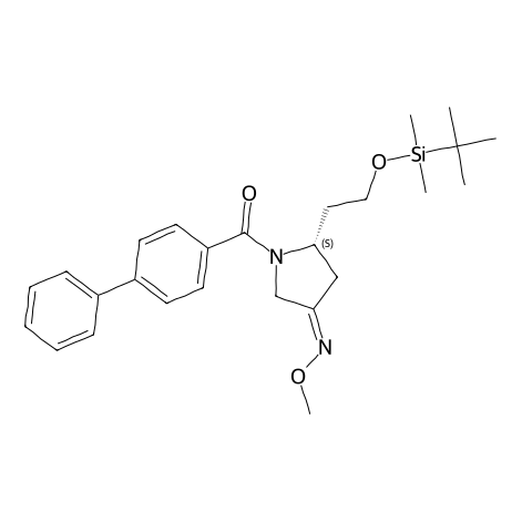 CON=C1C[C@@H](CCO[Si](C)(C)C(C)(C)C)N(C(=O)c2ccc(-c3ccccc3)cc2)C1